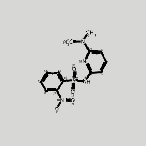 CN(C)c1cccc(NS(=O)(=O)c2ccccc2[N+](=O)[O-])n1